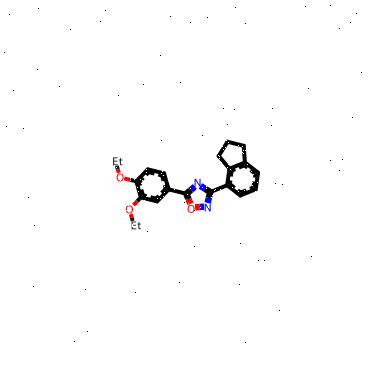 CCOc1ccc(-c2nc(-c3cccc4c3CCC4)no2)cc1OCC